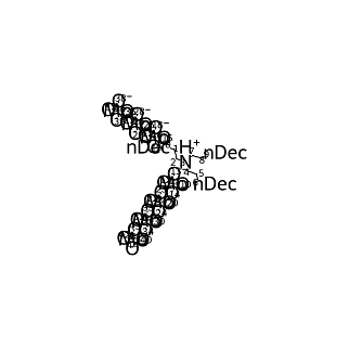 CCCCCCCCCCCC[NH+](CCCCCCCCCCCC)CCCCCCCCCCCC.[O]=[Mo](=[O])([O-])[O-].[O]=[Mo](=[O])([O-])[O-].[O]=[Mo](=[O])([O-])[O-].[O]=[Mo](=[O])([O-])[O-].[O]=[Mo](=[O])([O-])[O-].[O]=[Mo](=[O])([O-])[O-].[O]=[Mo](=[O])([O-])[O-]